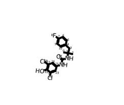 CC(C)(Cc1ccc(F)cc1)NC(=O)Nc1cc(Cl)c(O)c(Cl)c1